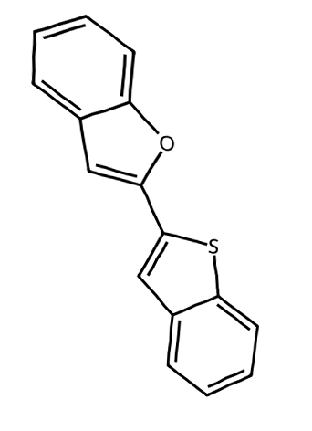 c1ccc2oc(-c3cc4ccccc4s3)cc2c1